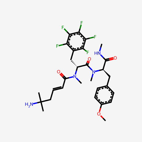 CNC(=O)[C@@H](Cc1ccc(OC)cc1)N(C)C(=O)[C@@H](Cc1c(F)c(F)c(F)c(F)c1F)N(C)C(=O)C=CCC(C)(C)N